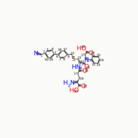 N#Cc1ccc(-c2ccc(CSC[C@H](NC(=O)CCC(N)C(=O)O)C(=O)N(CC(=O)O)c3ccccc3)cc2)cc1